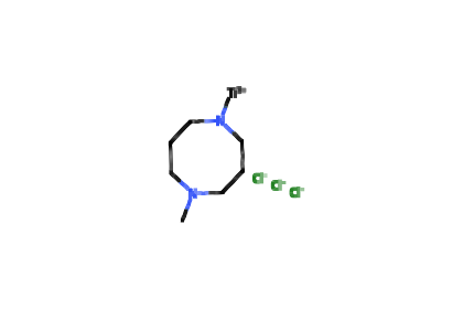 CN1CCC[N]([Ti+3])CCC1.[Cl-].[Cl-].[Cl-]